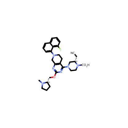 CN1CCC[C@H]1COc1nc2c(c(N3CCN(C(=O)O)[C@@H](CC#N)C3)n1)CCN(c1cccc3cccc(F)c13)C2